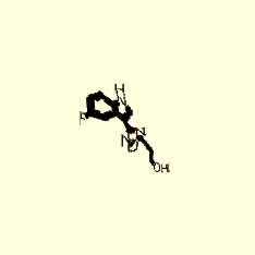 OCCc1nc(-c2c[nH]c3ccc(F)cc23)no1